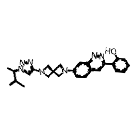 CC(C)C(C)n1cc(N2CC3(CN(c4ccc5cc(-c6ccccc6O)nnc5c4)C3)C2)nn1